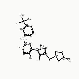 Cc1c(CN2CC[C@@H](O)C2)c[nH]c1-c1nc(Nc2cccc(C(F)(F)F)c2)ncc1F